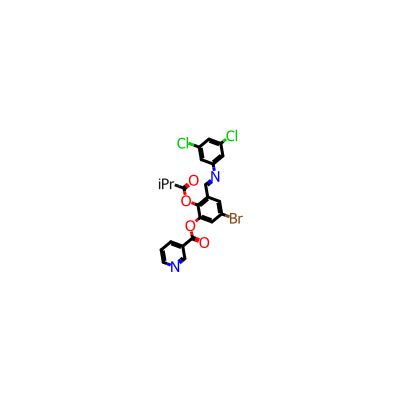 CC(C)C(=O)Oc1c(C=Nc2cc(Cl)cc(Cl)c2)cc(Br)cc1OC(=O)c1cccnc1